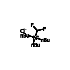 CCCC[N+](CCCC)(CCCC)C(F)F.[Cl-]